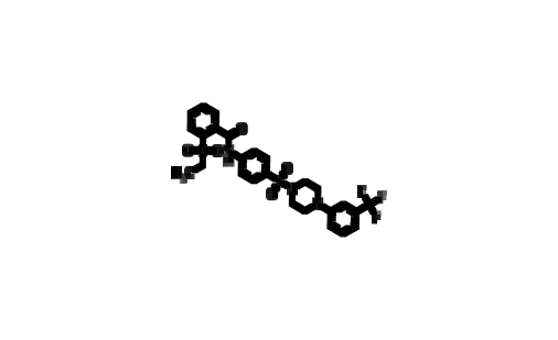 CCS(=O)(=O)c1ccccc1C(=O)Nc1ccc(S(=O)(=O)N2CCN(c3cccc(C(F)(F)F)c3)CC2)cc1